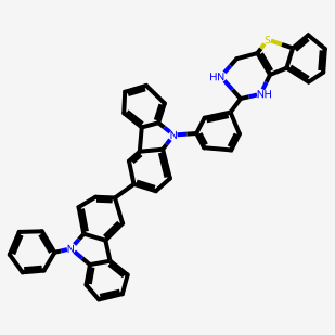 c1ccc(-n2c3ccccc3c3cc(-c4ccc5c(c4)c4ccccc4n5-c4cccc(C5NCc6sc7ccccc7c6N5)c4)ccc32)cc1